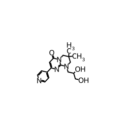 CC1(C)CN(CC(O)CO)c2nc(-c3ccncc3)cc(=O)n2C1